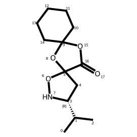 CC(C)[C@H]1CC2(ON1)OC1(CCCCC1)OC2=O